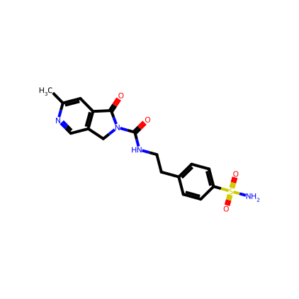 Cc1cc2c(cn1)CN(C(=O)NCCc1ccc(S(N)(=O)=O)cc1)C2=O